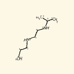 CC(C)NCCNCCO